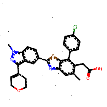 Cc1cc2nc(-c3ccc4c(c3)c(C3=CCOCC3)nn4C)sc2c(-c2ccc(Cl)cc2)c1CC(=O)O